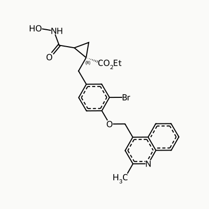 CCOC(=O)[C@@]1(Cc2ccc(OCc3cc(C)nc4ccccc34)c(Br)c2)CC1C(=O)NO